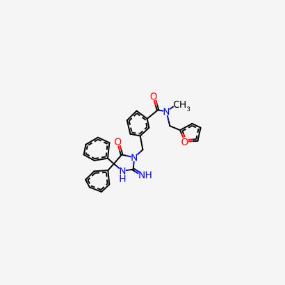 CN(Cc1ccco1)C(=O)c1cccc(CN2C(=N)NC(c3ccccc3)(c3ccccc3)C2=O)c1